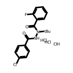 CC(C)(C)N(NC(=O)c1ccc(Cl)cc1)C(=O)c1ccccc1F.Cl.Cl.Cl